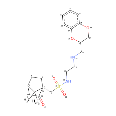 CC1(C)C2CC[C@@]1(CS(=O)(=O)NCCNCC1COc3ccccc3O1)C(=O)C2